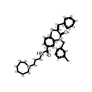 Cc1cccc(CN2C(=O)/C(=C\c3ccccc3)Sc3ccc(C(=O)NCCCN4CCCCCC4)cc32)c1